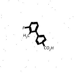 Cc1c(F)cccc1-c1ccc(C(=O)O)cc1